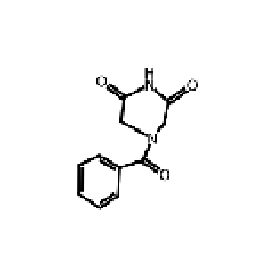 O=C1CN(C(=O)c2ccccc2)CC(=O)N1